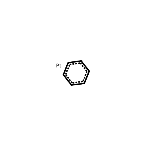 [Pt].[c]1ccccc1